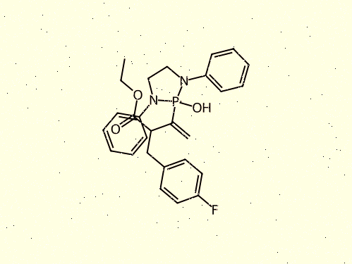 C=C(C(Cc1ccc(F)cc1)C(=O)OCC)[P]1(O)N(c2ccccc2)CCN1c1ccccc1